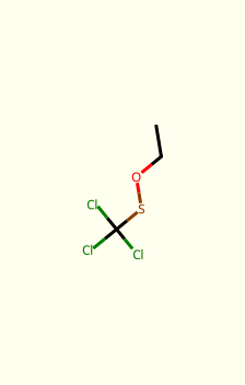 CCOSC(Cl)(Cl)Cl